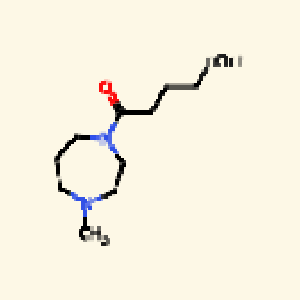 CCCCCCCCCCCC(=O)N1CCCN(C)CC1